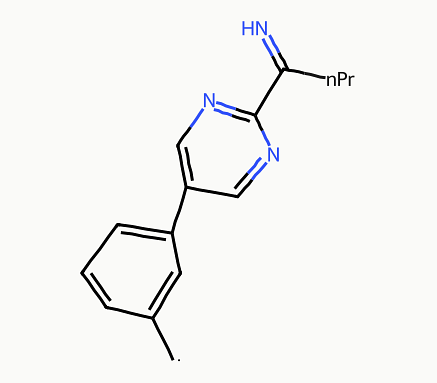 [CH2]c1cccc(-c2cnc(C(=N)CCC)nc2)c1